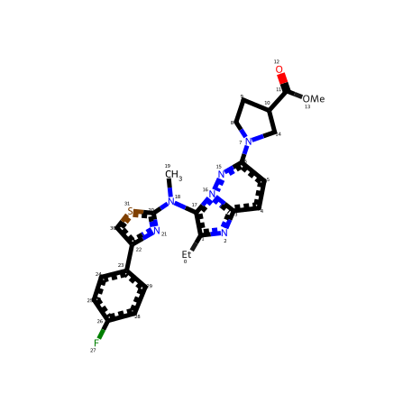 CCc1nc2ccc(N3CCC(C(=O)OC)C3)nn2c1N(C)c1nc(-c2ccc(F)cc2)cs1